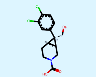 O=C(O)N1CC[C@H]2C(C1)[C@]2(CO)c1ccc(Cl)c(Cl)c1